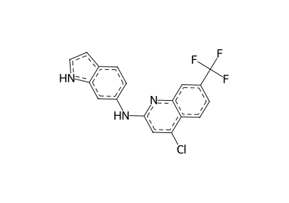 FC(F)(F)c1ccc2c(Cl)cc(Nc3ccc4cc[nH]c4c3)nc2c1